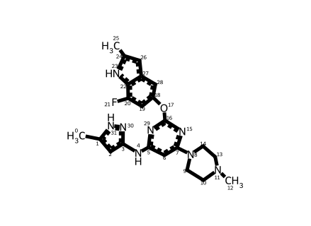 Cc1cc(Nc2cc(N3CCN(C)CC3)nc(Oc3cc(F)c4[nH]c(C)cc4c3)n2)n[nH]1